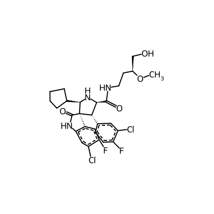 CO[C@H](CO)CCNC(=O)[C@@H]1N[C@H](C2CCCC2)[C@]2(C(=O)Nc3cc(Cl)c(F)cc32)[C@H]1c1ccc(F)c(Cl)c1